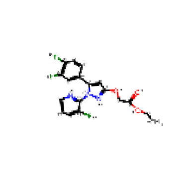 CCOC(=O)COc1cc(-c2ccc(F)c(F)c2)n(-c2ncccc2F)n1